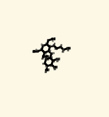 CO[C@H]1OC(CO)[C@H](OSOOO)[C@H](O[C@@H]2OC[C@@H](O)[C@H](O)C2O)C1NC(C)=O